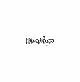 C[C@@H]1c2ccccc2CCN1C(=O)c1cc(C2CC2)c2nc(-c3ccc(N4C[C@H](O)[C@@H](O)C4)cc3F)cn2n1